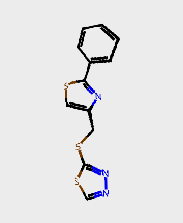 c1ccc(-c2nc(CSc3nncs3)cs2)cc1